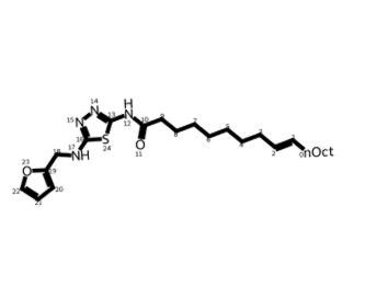 CCCCCCCCC=CCCCCCCCC(=O)Nc1nnc(NCc2ccco2)s1